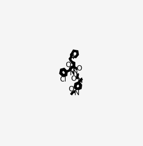 Cc1nc2ccc(N(C)C(=O)Cn3nc(-c4cccc(Cl)c4)c4oc(CN5CCCCC5)cc4c3=O)cc2o1